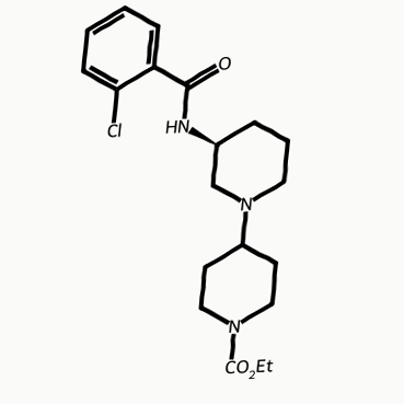 CCOC(=O)N1CCC(N2CCC[C@H](NC(=O)c3ccccc3Cl)C2)CC1